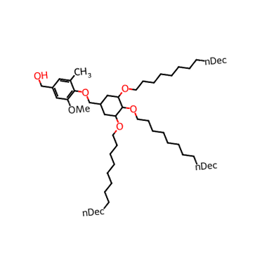 CCCCCCCCCCCCCCCCCCOC1CC(COc2c(C)cc(CO)cc2OC)CC(OCCCCCCCCCCCCCCCCCC)C1OCCCCCCCCCCCCCCCCCC